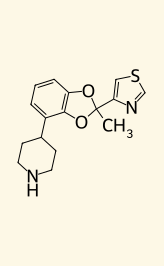 CC1(c2cscn2)Oc2cccc(C3CCNCC3)c2O1